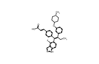 CC/C(=C(/c1ccc(/C=C/C(=O)O)cc1)c1ccc2[nH]ncc2c1F)c1cccc(OC2CCN(C)CC2)c1